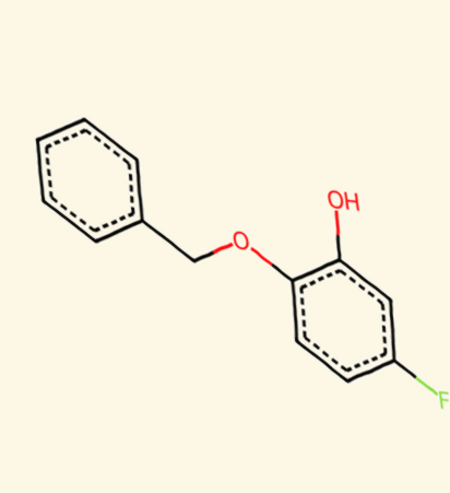 Oc1cc(F)ccc1OCc1ccccc1